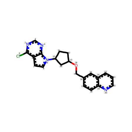 Clc1ncnc2c1ccn2C1CCC(OCc2ccc3ncccc3c2)C1